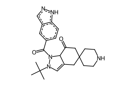 CC(C)(C)N1C=C2CC3(CCNCC3)CC(=O)C2N1C(=O)c1ccc2[nH]ncc2c1